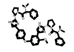 COc1ccc(Oc2ccc(-c3c[nH]c([C@@H]4CCCN4C(=O)[C@@H](c4ccccc4)N(C)C)n3)cc2)cc1-c1c[nH]c([C@@H]2CCCN2C(=O)[C@@H](c2ccccc2)N(C)C)n1